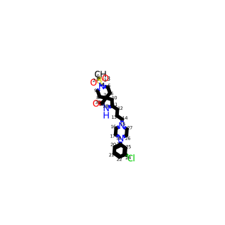 CS(=O)(=O)N1CCC2(CC1)CC(CCCN1CCN(c3cccc(Cl)c3)CC1)NC2=O